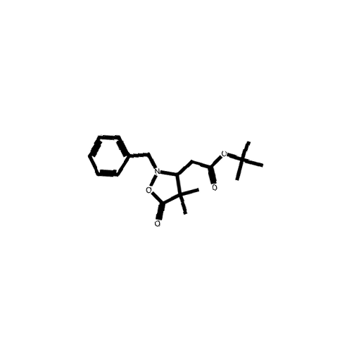 CC(C)(C)OC(=O)CC1N(Cc2ccccc2)OC(=O)C1(C)C